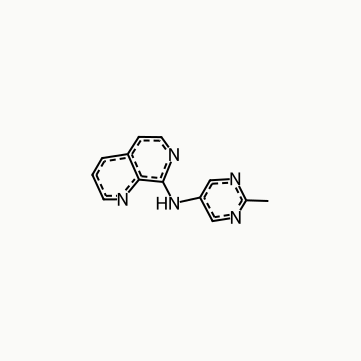 Cc1ncc(Nc2nccc3cccnc23)cn1